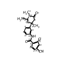 CN1C(=O)CC(C)(c2cccc(NC(=O)c3ncc(C#N)cc3Cl)c2)N=C1N